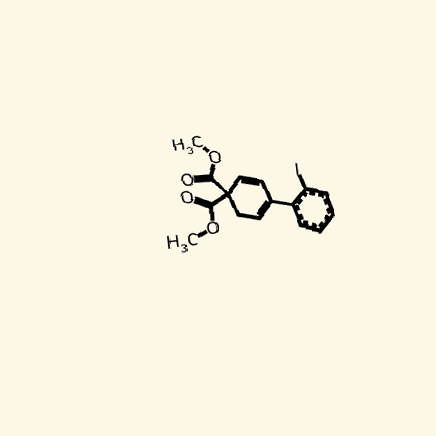 COC(=O)C1(C(=O)OC)C=CC(c2ccccc2I)=CC1